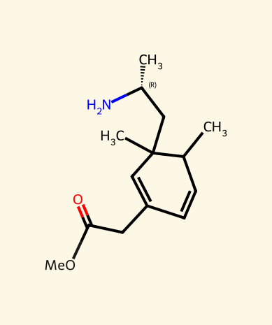 COC(=O)CC1=CC(C)(C[C@@H](C)N)C(C)C=C1